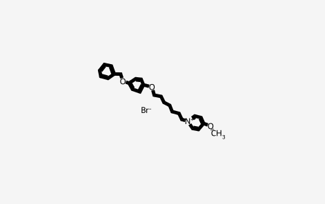 COc1cc[n+](CCCCCCCOc2ccc(OCc3ccccc3)cc2)cc1.[Br-]